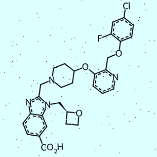 O=C(O)c1ccc2nc(CN3CCC(Oc4cccnc4COc4ccc(Cl)cc4F)CC3)n(C[C@@H]3CCO3)c2c1